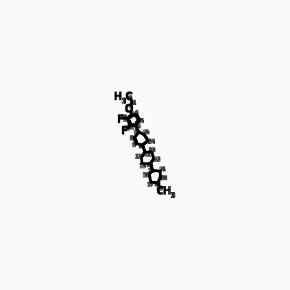 CCOc1ccc(C2C=CC(C3CCC(C4CCC(C)CC4)CC3)CC2)c(F)c1F